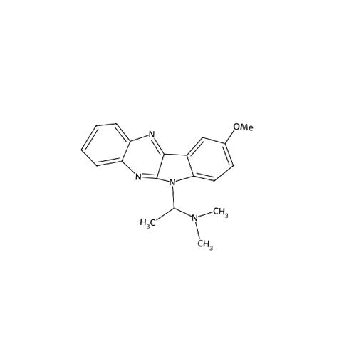 COc1ccc2c(c1)c1nc3ccccc3nc1n2C(C)N(C)C